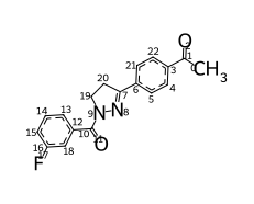 CC(=O)c1ccc(C2=NN(C(=O)c3cccc(F)c3)CC2)cc1